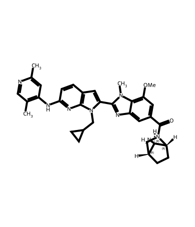 COc1cc(C(=O)N2C[C@H]3CC[C@@H]2[C@@H]3N)cc2nc(-c3cc4ccc(Nc5cc(C)ncc5C)nc4n3CC3CC3)n(C)c12